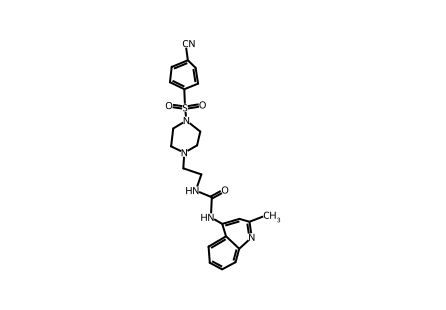 Cc1cc(NC(=O)NCCN2CCN(S(=O)(=O)c3ccc(C#N)cc3)CC2)c2ccccc2n1